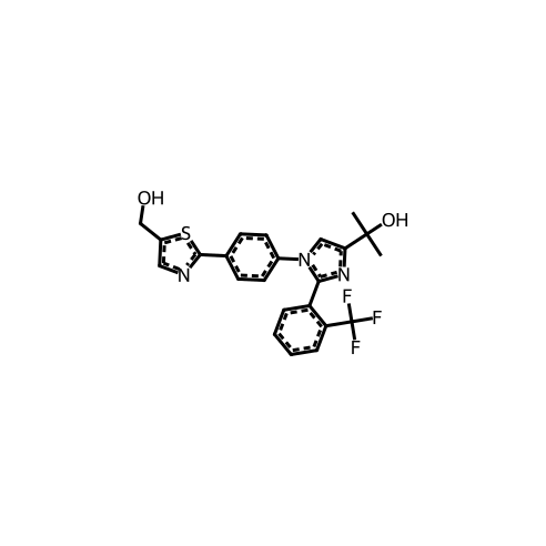 CC(C)(O)c1cn(-c2ccc(-c3ncc(CO)s3)cc2)c(-c2ccccc2C(F)(F)F)n1